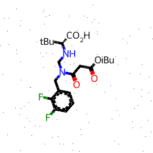 CC(C)COC(=O)CC(=O)N(CN[C@H](C(=O)O)C(C)(C)C)Cc1cccc(F)c1F